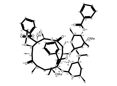 CC[C@H]1OC(=O)[C@H](C)[C@@H](OC2C[C@@](C)(OC)[C@@H](OC(=O)c3ccccc3)[C@H](C)O2)[C@H](C)[C@@H](OC2O[C@H](C)C[C@H](N(C)C)[C@H]2OC(=O)c2ccccc2)[C@@](C)(OC)C[C@@H](C)C(=O)[C@H](C)[C@@H](OS(C)(=O)=O)[C@@]1(O)Cc1ccccc1